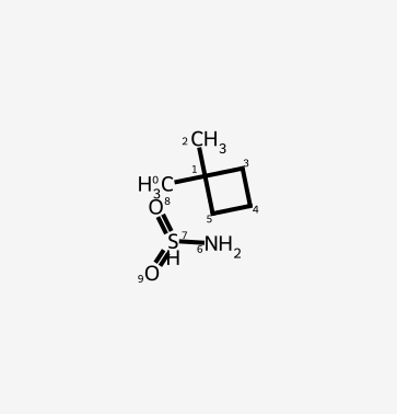 CC1(C)CCC1.N[SH](=O)=O